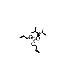 C=CCOP(OCC=C)ON(C(C)C)C(C)C